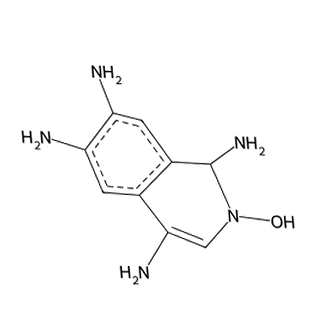 NC1=CN(O)C(N)c2cc(N)c(N)cc21